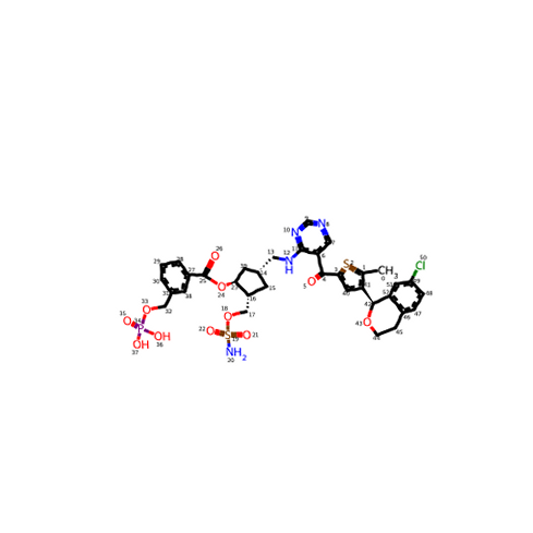 Cc1sc(C(=O)c2cncnc2NC[C@@H]2C[C@H](COS(N)(=O)=O)[C@@H](OC(=O)c3cccc(COP(=O)(O)O)c3)C2)cc1[C@@H]1OCCc2ccc(Cl)cc21